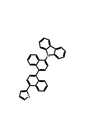 c1csc(-c2ccc(-c3ccc(-n4c5ccccc5c5ccccc54)c4ccccc34)c3ccccc23)c1